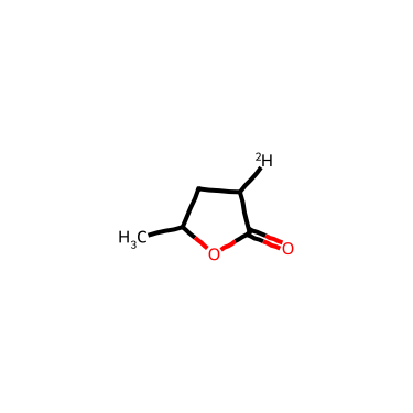 [2H]C1CC(C)OC1=O